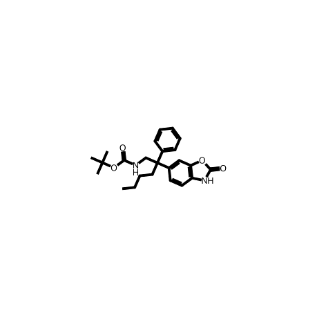 CCCCC(CNC(=O)OC(C)(C)C)(c1ccccc1)c1ccc2[nH]c(=O)oc2c1